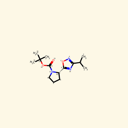 CC(C)c1noc([C@@H]2CCCN2C(=O)OC(C)(C)C)n1